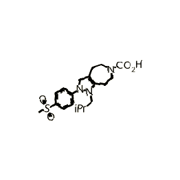 CC(C)CN1C2=C(CCN(C(=O)O)CC2)CN1c1ccc(S(C)(=O)=O)cc1